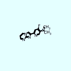 CN(C)c1cnc(-c2cn3cccnc3n2)cc1F